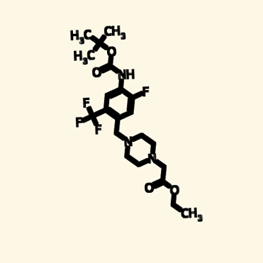 CCOC(=O)CN1CCN(Cc2cc(F)c(NC(=O)OC(C)(C)C)cc2C(F)(F)F)CC1